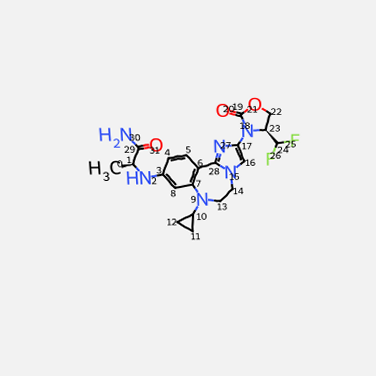 C[C@H](Nc1ccc2c(c1)N(C1CC1)CCn1cc(N3C(=O)OC[C@H]3C(F)F)nc1-2)C(N)=O